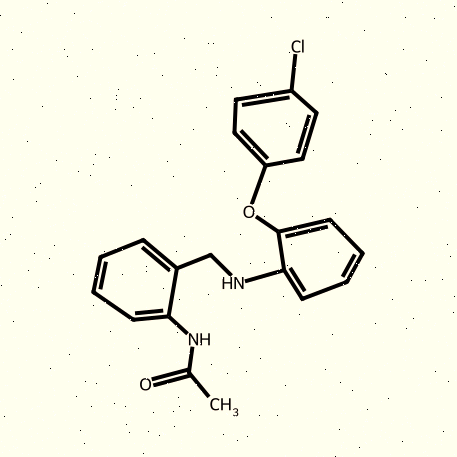 CC(=O)Nc1ccccc1CNc1ccccc1Oc1ccc(Cl)cc1